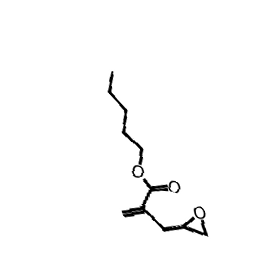 C=C(CC1CO1)C(=O)OCCCCC